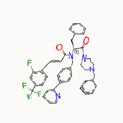 O=C([C@H](Cc1ccccc1)N(Cc1ccc(-c2ccccn2)cc1)C(=O)C=Cc1ccc(C(F)(F)F)cc1F)N1CCN(Cc2ccccc2)CC1